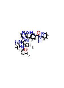 C=CC(=O)N1C[C@H](C)NC(c2nc(-c3ccc(C(=O)Nc4ccccn4)cc3)c3c(N)nccn23)[C@@H]1C